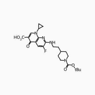 CC(C)(C)OC(=O)N1CCC(CCNc2nc3c(cc2F)c(=O)c(C(=O)O)cn3C2CC2)CC1